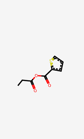 CCC(=O)OC(=O)c1cccs1